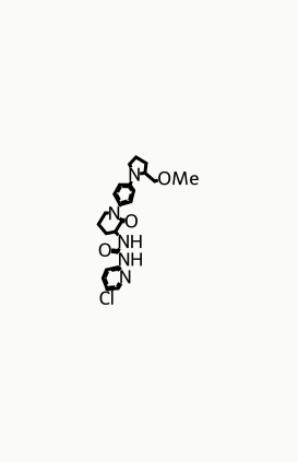 COCC1CCCN1c1ccc(N2CCCC(NC(=O)Nc3ccc(Cl)cn3)C2=O)cc1